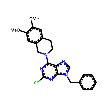 COc1cc2c(cc1OC)CN(c1nc(Cl)nc3c1ncn3Cc1ccccc1)CC2